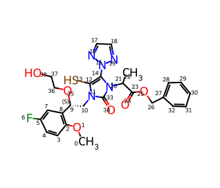 COc1ccc(F)cc1[C@@H](Cn1c(S)c(-n2nccn2)n(C(C)C(=O)OCc2ccccc2)c1=O)OCCO